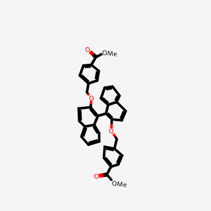 COC(=O)c1ccc(COc2ccc3ccccc3c2-c2c(OCc3ccc(C(=O)OC)cc3)ccc3ccccc23)cc1